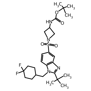 CC(C)(C)OC(=O)NC1CN(S(=O)(=O)c2ccc3c(c2)nc(C(C)(C)C)n3CC2CCC(F)(F)CC2)C1